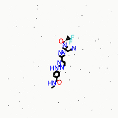 CCNC(=O)c1ccc(Nc2nccc(-c3cnn(C4(CC#N)CN(C(=O)[C@@H]5CC5(F)F)C4)c3)n2)cc1